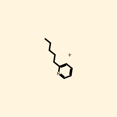 CCCCCc1ccccn1.[Ir]